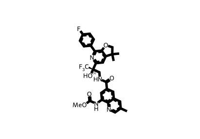 COC(=O)Nc1cc(C(=O)NC[C@](O)(c2cc3c(c(-c4ccc(F)cc4)n2)OCC3(C)C)C(F)(F)F)cc2cc(C)cnc12